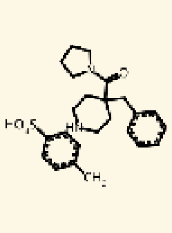 Cc1ccc(S(=O)(=O)O)cc1.O=C(N1CCCC1)C1(Cc2ccccc2)CCNCC1